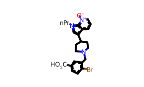 CCCn1cc(C2CCN(Cc3cc(C(=O)O)ccc3Br)CC2)c2ccc[n+]([O-])c21